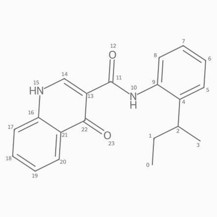 CCC(C)c1ccccc1NC(=O)c1c[nH]c2ccccc2c1=O